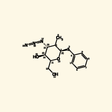 CC1[C@@H](Sc2ccccc2)OC(CO)[C@@H](O)[C@@H]1N=[N+]=[N-]